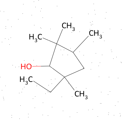 CCC1(C)CC(C)C(C)(C)C1O